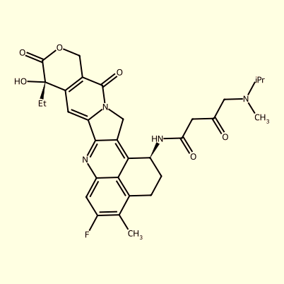 CC[C@@]1(O)C(=O)OCc2c1cc1n(c2=O)Cc2c-1nc1cc(F)c(C)c3c1c2[C@@H](NC(=O)CC(=O)CN(C)C(C)C)CC3